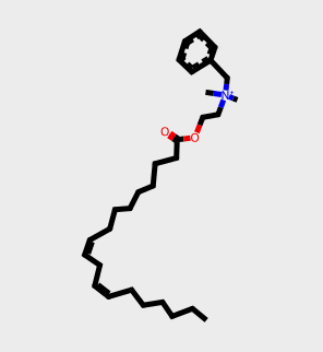 CCCCCC/C=C\C/C=C\CCCCCCCC(=O)OCC[N+](C)(C)Cc1ccccc1